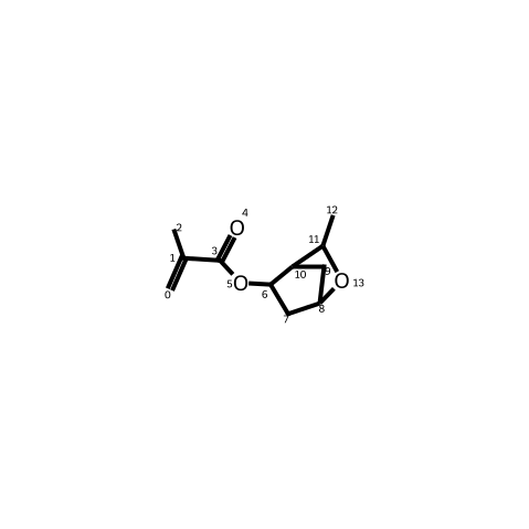 C=C(C)C(=O)OC1CC2CC1C(C)O2